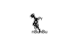 CCCCC(CCCC)CCCC(=O)Oc1cccc2c1CCC(N(CCC)CCc1cccs1)C2